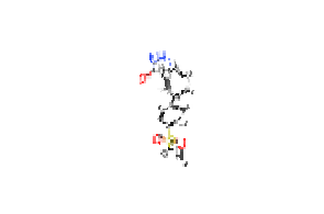 CS(=O)(=O)c1ccc(-c2cccc(C(N)=O)c2)cc1